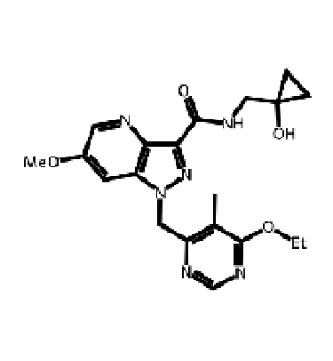 CCOc1ncnc(Cn2nc(C(=O)NCC3(O)CC3)c3ncc(OC)cc32)c1C